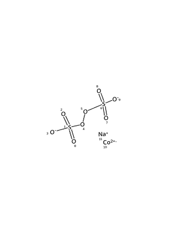 O=S(=O)([O-])OOS(=O)(=O)[O-].[Co+2].[Na+]